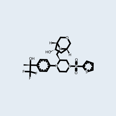 C[C@@](O)(c1ccc(N2CCN(S(=O)(=O)c3cccs3)C[C@@H]2CN2[C@@H]3COC[C@H]2[C@@H](O)C3)cc1)C(F)(F)F